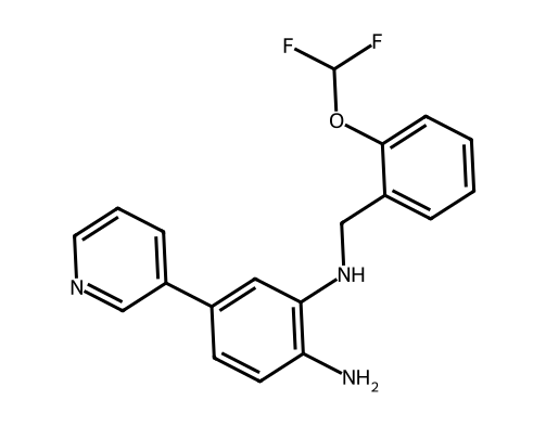 Nc1ccc(-c2cccnc2)cc1NCc1ccccc1OC(F)F